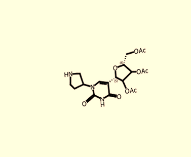 CC(=O)OC[C@H]1O[C@@H](c2cn(C3CCNC3)c(=O)[nH]c2=O)C(OC(C)=O)C1OC(C)=O